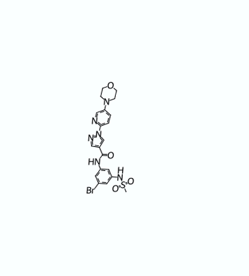 CS(=O)(=O)Nc1cc(Br)cc(NC(=O)c2cnn(-c3ccc(N4CCOCC4)cn3)c2)c1